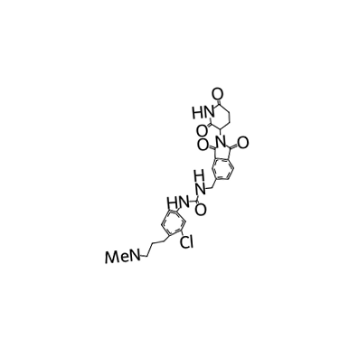 CNCCCc1ccc(NC(=O)NCc2ccc3c(c2)C(=O)N(C2CCC(=O)NC2=O)C3=O)cc1Cl